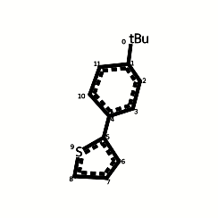 CC(C)(C)c1ccc(-c2cccs2)cc1